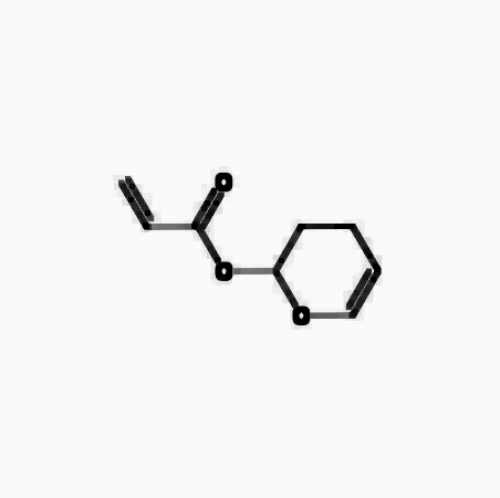 C=CC(=O)OC1CCC=CO1